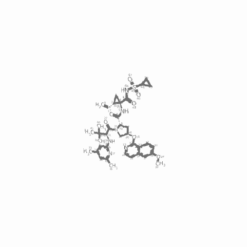 C=C[C@@H]1C[C@]1(NC(=O)[C@@H]1C[C@@H](Oc2nccc3cc(OC)ccc23)CN1C(=O)[C@@H](Nc1cc(C)cc(C)n1)C(C)(C)C)C(=O)NS(=O)(=O)C1CC1